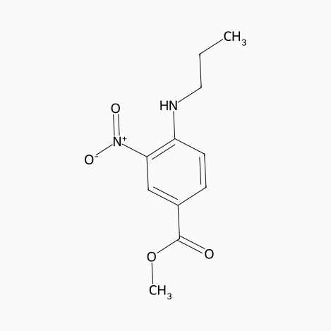 CCCNc1ccc(C(=O)OC)cc1[N+](=O)[O-]